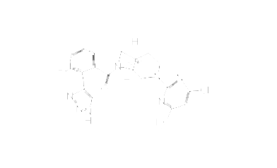 Cc1cc(C)nc(N2CC[C@@H]3CN(C(=O)c4cccc(F)c4-c4c[nH]nn4)[C@@H]3C2)n1